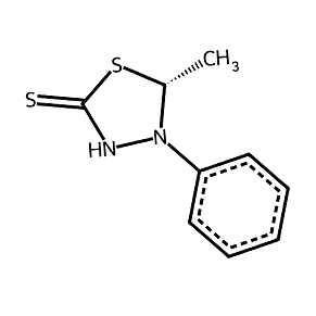 C[C@H]1SC(=S)NN1c1ccccc1